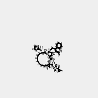 Cc1nc2ccccc2c2c1O[C@]1(CC2)C[C@H]2C(=O)N[C@]3(C(=O)NS(=O)(=O)C4(C)CC4)C[C@H]3C=CCCCCC[C@H](Nc3nccs3)C(=O)N2C1